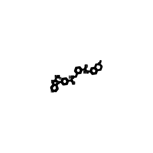 CN1CCc2ccc(NC(=O)c3cccc(CNC(=O)c4ccc(-n5c(N)nc6cnccc65)cc4)c3)cc2C1